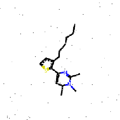 CCCCCCc1ccsc1C1=CC(C)N(C)C(C)=N1